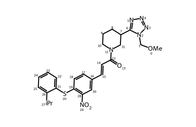 COCn1nnnc1C1CCCN(C(=O)C=Cc2ccc(Sc3ccccc3C(C)C)c([N+](=O)[O-])c2)C1